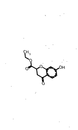 CCOC(=O)C1CC(=O)c2ccc(O)cc2O1